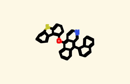 C1=c2sc3ccccc3c2=C(Oc2c3ccccc3c(-c3cccc4ccccc34)c3cnccc23)CC1